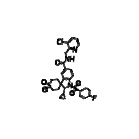 O=C(NCc1ncccc1Cl)c1ccc2c(c1)C1(CCS(=O)(=O)CC1)C(C1CC1)N2S(=O)(=O)c1ccc(F)cc1